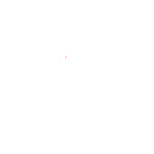 CCCCCCCCCCCC(=O)CC(=O)OC(CC1(C)CCC2(C=CC(=O)C=C2)O1)C[C@@]1(O)CCC2(C=CC(=O)C=C2)O1